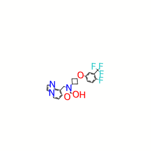 O=C(O)N(Cc1cccn2ccnc12)C1CC(Oc2ccc(F)c(C(F)(F)F)c2)C1